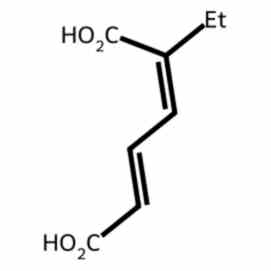 CCC(=CC=CC(=O)O)C(=O)O